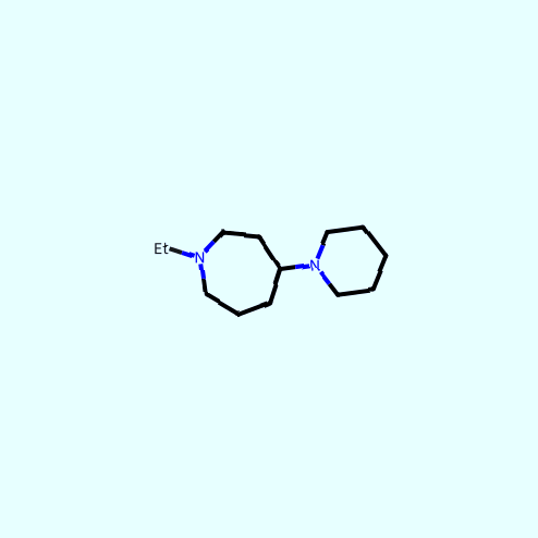 CCN1CCCC(N2CCCCC2)CC1